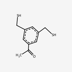 CC(=O)c1cc(CS)cc(CS)c1